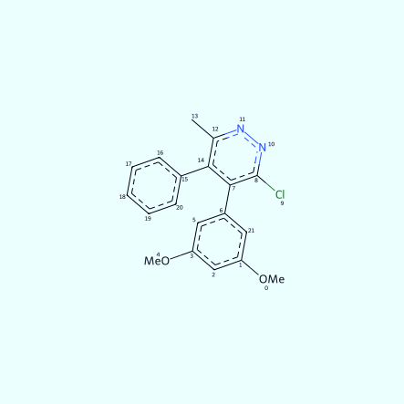 COc1cc(OC)cc(-c2c(Cl)nnc(C)c2-c2ccccc2)c1